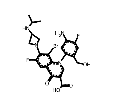 CC(C)NC1CN(c2c(F)cc3c(=O)c(C(=O)O)cn(-c4cc(N)c(F)cc4CO)c3c2Br)C1